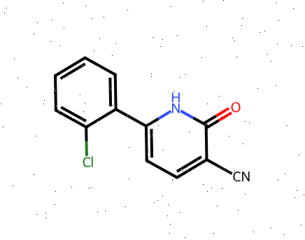 N#Cc1ccc(-c2ccccc2Cl)[nH]c1=O